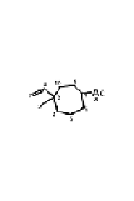 C=CC1(C)CCC[C@H](C(C)=O)CC1